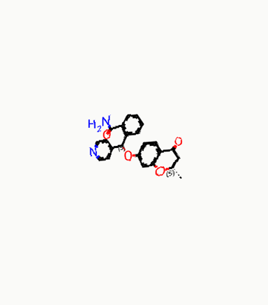 C[C@H]1CC(=O)c2ccc(O[C@@H](c3ccncc3)c3ccccc3C(N)=O)cc2O1